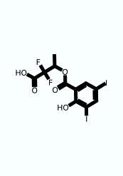 CC(OC(=O)c1cc(I)cc(I)c1O)C(F)(F)C(=O)O